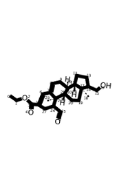 CCOC(=O)C1=CC2=CC[C@H]3[C@@H]4CCC(CO)[C@@]4(C)CC[C@@H]3[C@@]2(C)C(C=O)C1